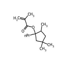 C=C(C)C(=O)OC1(CCC)CC(C)(C)CC1C